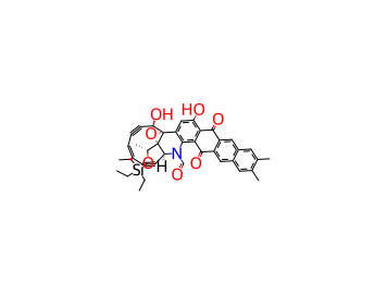 CC[Si](CC)(CC)O[C@H](C)[C@@]12O[C@]13c1cc(O)c4c(c1N(C=O)[C@H]2C#C/C=C\C#C[C@H]3O)C(=O)c1cc2cc(C)c(C)cc2cc1C4=O